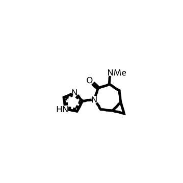 CNC1CC2CC2CN(c2c[nH]cn2)C1=O